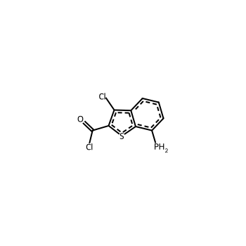 O=C(Cl)c1sc2c(P)cccc2c1Cl